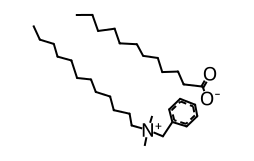 CCCCCCCCCCCC(=O)[O-].CCCCCCCCCCCC[N+](C)(C)Cc1ccccc1